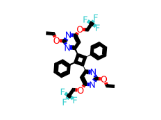 CCOc1nc(OCC(F)(F)F)cc([C@H]2[C@H](c3ccccc3)[C@H](c3cc(OCC(F)(F)F)nc(OCC)n3)[C@H]2c2ccccc2)n1